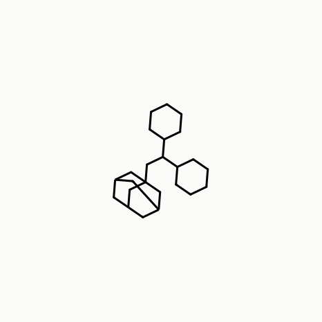 C1CCC(C(CC23CC4CC(CC(C4)C2)C3)C2CCCCC2)CC1